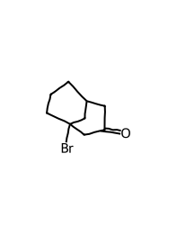 O=C1CC2CCCC(Br)(C1)C2